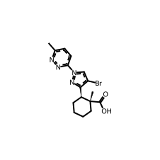 Cc1ccc(-n2cc(Br)c([C@@H]3CCCC[C@@]3(C)C(=O)O)n2)nn1